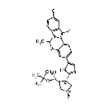 CC1Oc2cc(-c3cnc([C@@H]4C[C@@H](F)CN4C(=O)OC(C)(C)C)[nH]3)ccc2-c2c(F)c3cc(Cl)ccc3n21